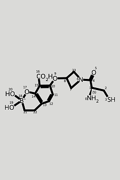 N[C@H](CS)C(=O)N1CC(Oc2ccc3c(c2C(=O)O)O[B-](O)(O)CC3)C1